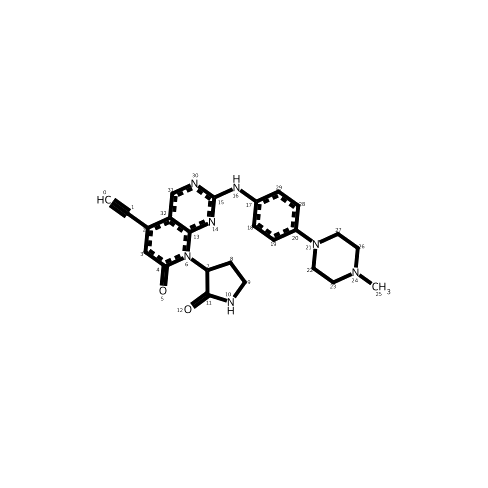 C#Cc1cc(=O)n(C2CCNC2=O)c2nc(Nc3ccc(N4CCN(C)CC4)cc3)ncc12